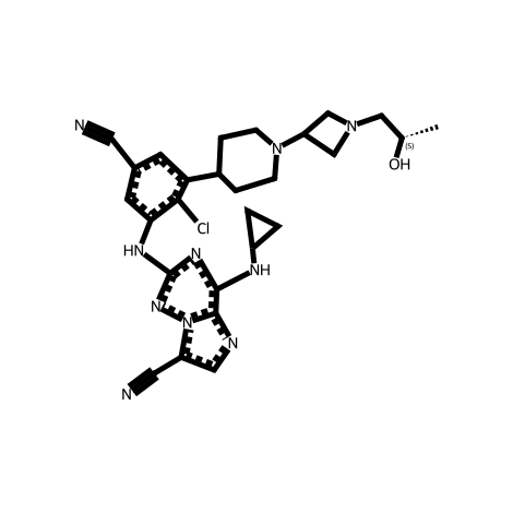 C[C@H](O)CN1CC(N2CCC(c3cc(C#N)cc(Nc4nc(NC5CC5)c5ncc(C#N)n5n4)c3Cl)CC2)C1